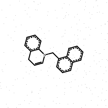 C1=CN(Cc2cccc3ccccc23)c2ccccc2C1